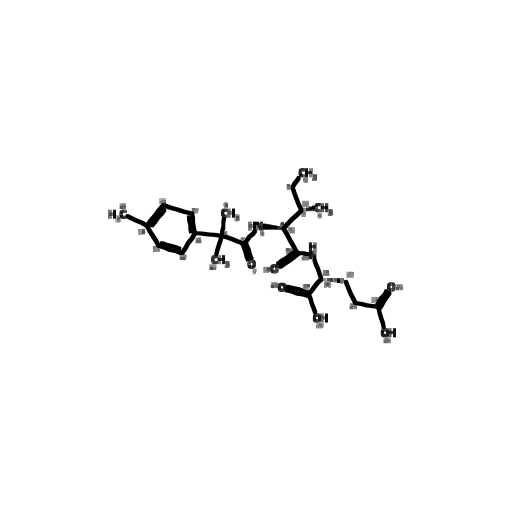 CC[C@H](C)[C@H](NC(=O)C(C)(C)c1ccc(C)cc1)C(=O)N[C@H](CCC(=O)O)C(=O)O